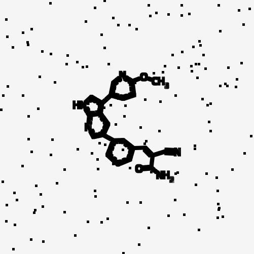 COc1ccc(-c2c[nH]c3ncc(-c4cccc(C=C(C#N)C(N)=O)c4)cc23)cn1